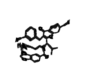 CC(C)C(c1oc2cc(C#N)ccc2c(=O)c1Cc1cccc(C#N)c1)N(CCCN)C(=O)c1ccc2c(c1)OCO2